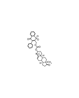 C[C@]12CC[C@H](OC(=O)OCC3=C(c4ccccc4)C(=O)c4ccccc4S3(=O)=O)CC1=CCC1[C@@H]2CC[C@]2(C)C(=O)CC[C@@H]12